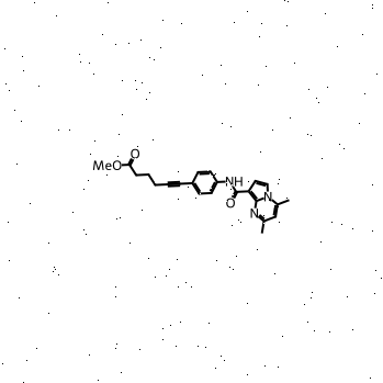 COC(=O)CCCC#Cc1ccc(NC(=O)c2ccn3c(C)cc(C)nc23)cc1